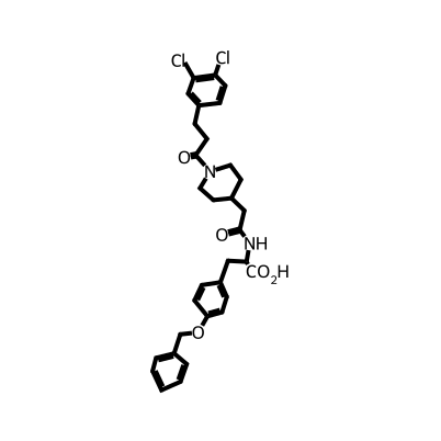 O=C(CC1CCN(C(=O)CCc2ccc(Cl)c(Cl)c2)CC1)NC(Cc1ccc(OCc2ccccc2)cc1)C(=O)O